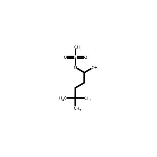 CC(C)(C)CCC(O)OS(C)(=O)=O